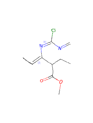 C=N/C(Cl)=N\C(=C/C)C(CC)C(=O)OC